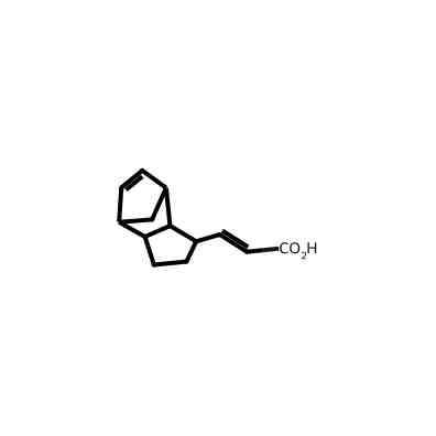 O=C(O)C=CC1CCC2C3C=CC(C3)C12